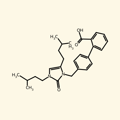 CC(C)CCc1cn(CCC(C)C)c(=O)n1Cc1ccc(-c2ccccc2C(=O)O)cc1